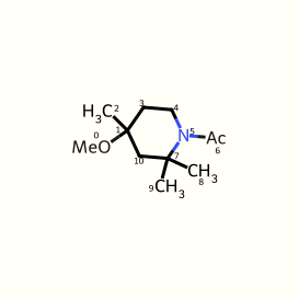 COC1(C)CCN(C(C)=O)C(C)(C)C1